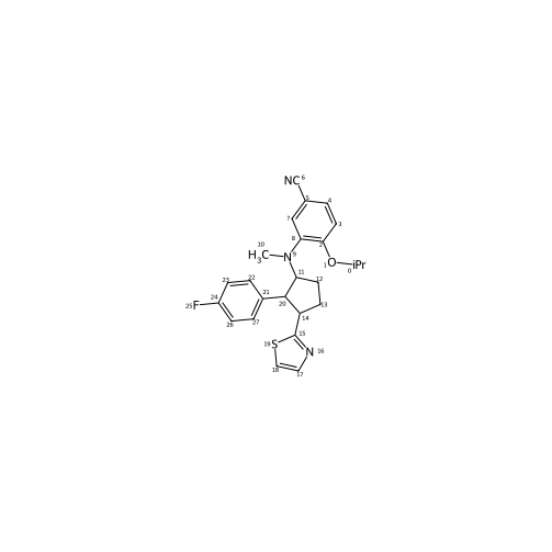 CC(C)Oc1ccc(C#N)cc1N(C)C1CCC(c2nccs2)C1c1ccc(F)cc1